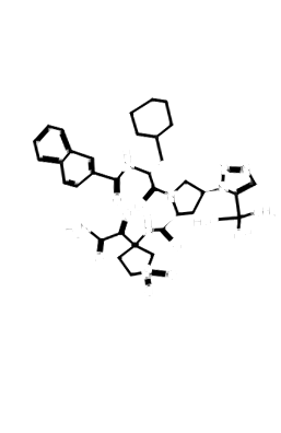 CC(C)(O)c1cnnn1[C@H]1C[C@@H](C(=O)NC2(C(=O)C(N)=O)CCS(=O)(=O)C2)N(C(=O)[C@@H](CC2CCCCC2)NC(=O)c2ccc3ccccc3c2)C1